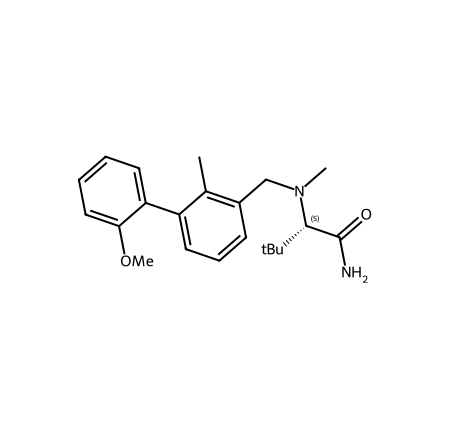 COc1ccccc1-c1cccc(CN(C)[C@H](C(N)=O)C(C)(C)C)c1C